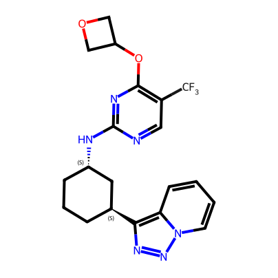 FC(F)(F)c1cnc(N[C@H]2CCC[C@H](c3nnn4ccccc34)C2)nc1OC1COC1